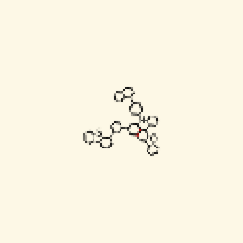 c1cc(-c2cccc(N(c3ccc(-c4cccc5ccccc45)cc3)c3ccccc3-c3cccc4c3oc3ccccc34)c2)cc(-c2cccc3c2sc2ccccc23)c1